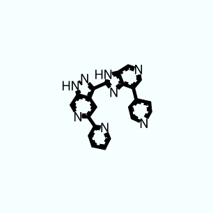 c1ccc(-c2cc3c(-c4nc5c(-c6ccncc6)cncc5[nH]4)n[nH]c3cn2)nc1